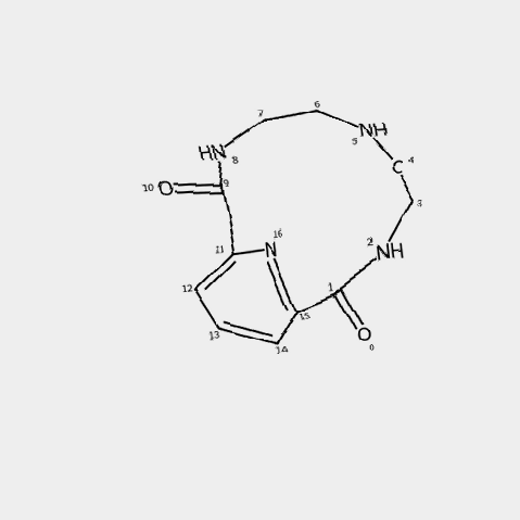 O=C1NCCNCCNC(=O)c2cccc1n2